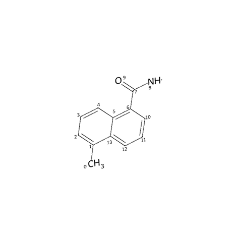 Cc1cccc2c(C([NH])=O)cccc12